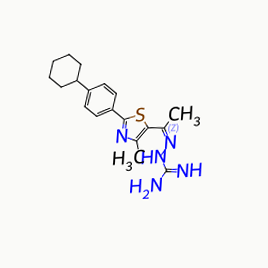 C/C(=N/NC(=N)N)c1sc(-c2ccc(C3CCCCC3)cc2)nc1C